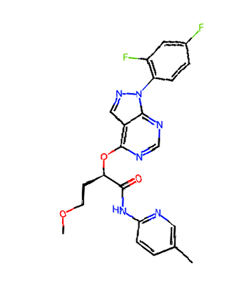 COCC[C@@H](Oc1ncnc2c1cnn2-c1ccc(F)cc1F)C(=O)Nc1ccc(C)cn1